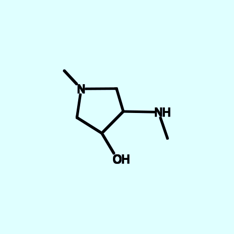 CNC1CN(C)CC1O